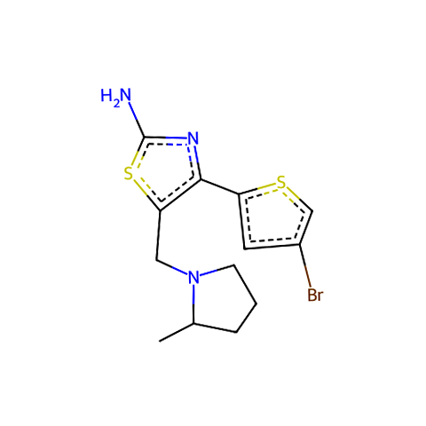 CC1CCCN1Cc1sc(N)nc1-c1cc(Br)cs1